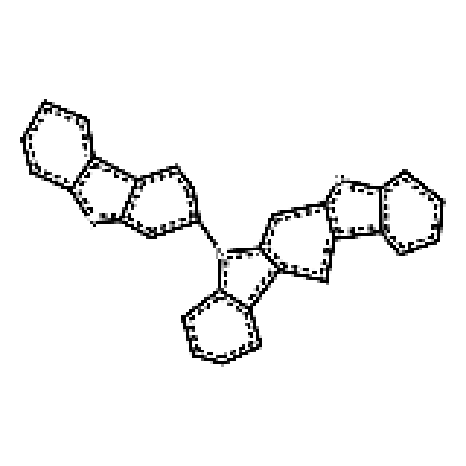 c1ccc2c(c1)oc1cc3c(cc12)c1ccccc1n3-c1ccc2c(c1)sc1ccccc12